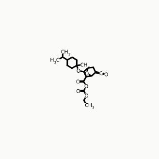 CCOC(=O)OC(=O)C1C2OC(CC2=C=O)C1OC1(C)CCC(C(C)C)CC1